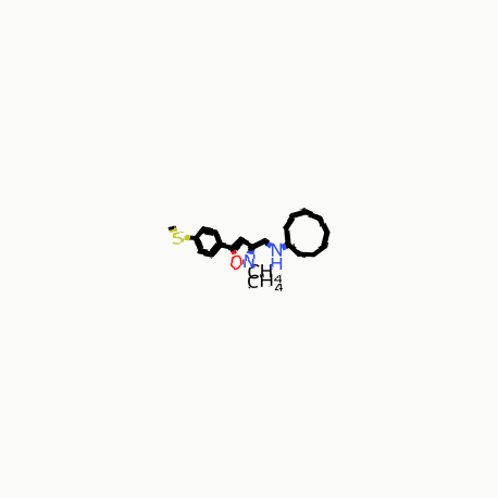 C.C.CSc1ccc(-c2cc(CN[C]3CCCCCCCC3)no2)cc1